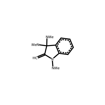 [CH]=C1N(NC)c2ccccc2C1(NC)NC